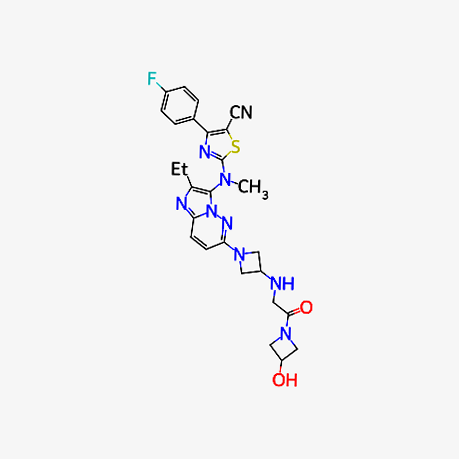 CCc1nc2ccc(N3CC(NCC(=O)N4CC(O)C4)C3)nn2c1N(C)c1nc(-c2ccc(F)cc2)c(C#N)s1